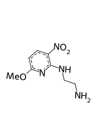 COc1ccc([N+](=O)[O-])c(NCCN)n1